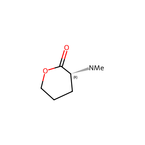 CN[C@@H]1CCCOC1=O